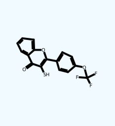 O=c1c(S)c(-c2ccc(OC(F)(F)F)cc2)oc2ccccc12